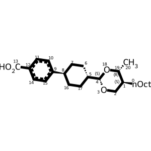 CCCCCCCC[C@H]1CO[C@H]([C@H]2CC[C@H](c3ccc(C(=O)O)cc3)CC2)O[C@@H]1C